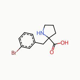 O=C(O)C1(Cc2cccc(Br)c2)CCCN1